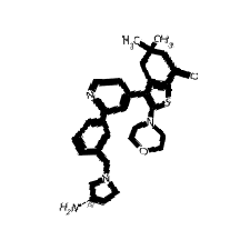 CC1(C)CC(=O)c2sc(N3CCOCC3)c(-c3ccnc(-c4cccc(CN5CC[C@H](N)C5)c4)c3)c2C1